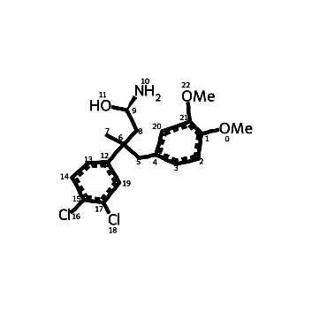 COc1ccc(CC(C)(C[C@H](N)O)c2ccc(Cl)c(Cl)c2)cc1OC